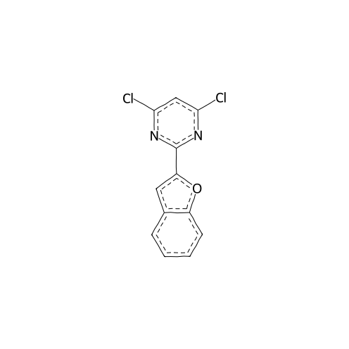 Clc1cc(Cl)nc(-c2cc3ccccc3o2)n1